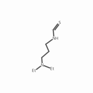 CCN(CC)CCCN[C]=S